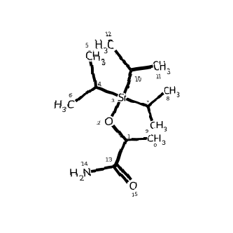 CC(O[Si](C(C)C)(C(C)C)C(C)C)C(N)=O